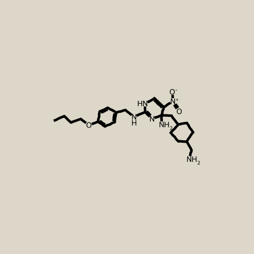 CCCCOc1ccc(CNC2=NC(N)(CC3CCC(CN)CC3)C([N+](=O)[O-])=CN2)cc1